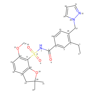 CCc1cc(C(=O)NS(=O)(=O)c2c(OC)ccc3c2OC(C)(C)C3)ccc1Cn1cccn1